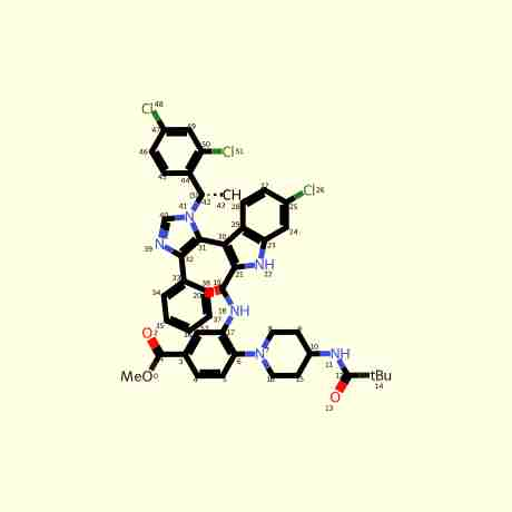 COC(=O)c1ccc(N2CCC(NC(=O)C(C)(C)C)CC2)c(NC(=O)c2[nH]c3cc(Cl)ccc3c2-c2c(-c3ccccc3)ncn2[C@@H](C)c2ccc(Cl)cc2Cl)c1